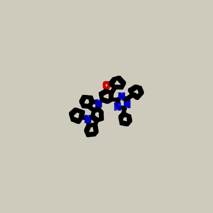 c1ccc(-c2nc(-c3ccccc3)nc(-c3cc(-n4c5ccccc5c5c4ccc4c6ccccc6n(-c6ccccc6)c45)cc4oc5ccccc5c34)n2)cc1